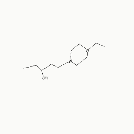 CCC(O)CCN1CCN(CC)CC1